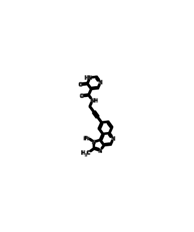 Cc1nc2cnc3ccc(C#CCNC(=O)c4cnc[nH]c4=O)cc3c2n1C(C)C